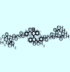 C=C(C)C(=O)OCC(COC(=O)C(=C)C)OC(=O)CCC(=O)Oc1ccc(C(C)C2=C/C(=C3/C=C(C(C)c4ccc(OC(=O)CCC(=O)OC(COC(=O)C(=C)C)COC(=O)C(=C)C)cc4)C(=O)c4ccccc43)c3ccccc3C2=O)cc1